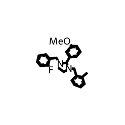 COc1cccc(C2N(Cc3ccccc3C)CCN2Cc2ccccc2F)c1